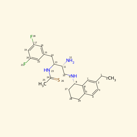 CCc1ccc2c(c1)[C@@H](NC[C@@H](N)C(Cc1cc(F)cc(F)c1)NC(C)=S)CCC2